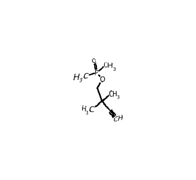 C#CC(C)(C)COP(C)(C)=O